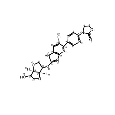 O=C1OCCN1c1ccc(-c2nc3nc(O[C@@H]4CO[C@H]5[C@@H]4OC[C@H]5O)[nH]c3cc2Cl)cn1